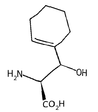 N[C@H](C(=O)O)C(O)C1=CCCCC1